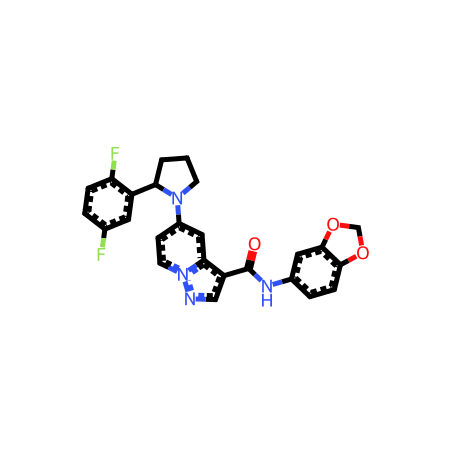 O=C(Nc1ccc2c(c1)OCO2)c1cnn2ccc(N3CCCC3c3cc(F)ccc3F)cc12